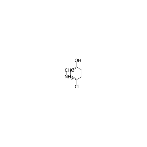 NC=O.Oc1ccc(Cl)cc1